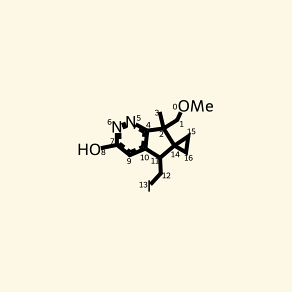 COCC1(C)c2nnc(O)cc2C(CI)C12CC2